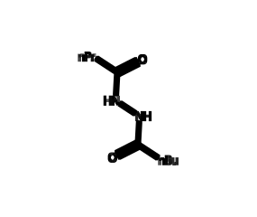 CCCCC(=O)NNC(=O)CCC